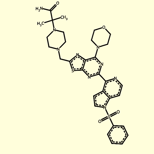 CC(C)(C(N)=O)N1CCN(Cc2nc3c(N4CCOCC4)nc(-c4nccc5c4ccn5S(=O)(=O)c4ccccc4)nc3s2)CC1